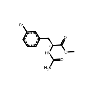 BC(=O)N[C@@H](Cc1cccc(Br)c1)C(=O)OC